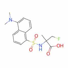 CN(C)c1cccc2c(S(=O)(=O)NC(C)(CF)C(=O)O)cccc12